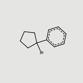 BrC1(c2[c]cccc2)CCCC1